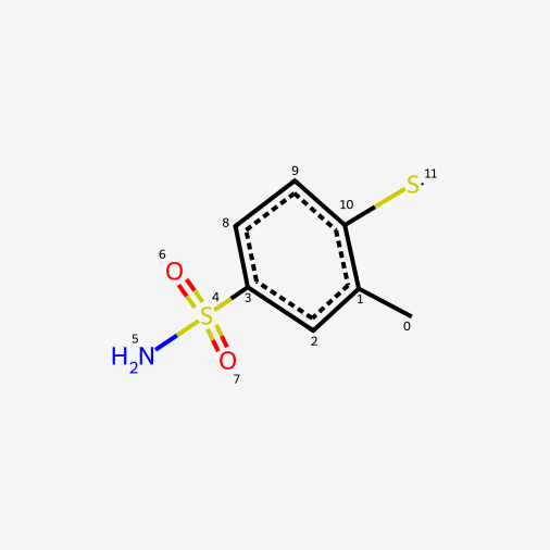 Cc1cc(S(N)(=O)=O)ccc1[S]